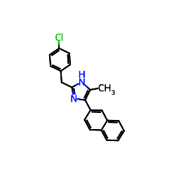 Cc1[nH]c(Cc2ccc(Cl)cc2)nc1-c1ccc2ccccc2c1